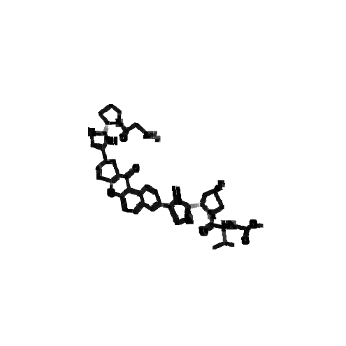 COC(=O)N[C@H](C(=O)N1C[C@H](F)C[C@H]1c1ncc(-c2ccc3c(ccc4oc5ccc(-c6cnc([C@@H]7CCCN7C(=O)CN)[nH]6)cc5c(=O)c43)c2)[nH]1)C(C)C